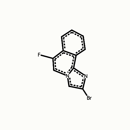 Fc1cn2cc(Br)nc2c2ccccc12